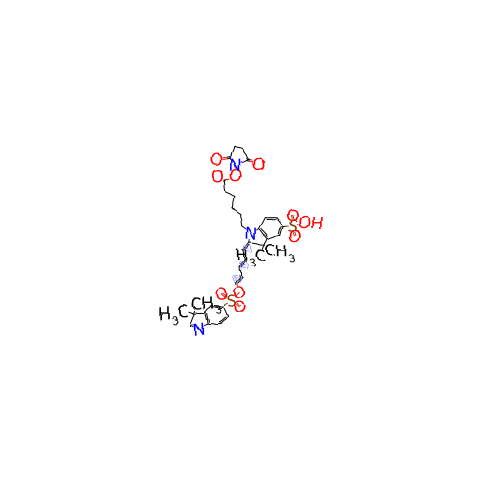 CC1(C)C=Nc2ccc(S(=O)(=O)O/C=C/C=C/C=C3/N(CCCCCC(=O)ON4C(=O)CCC4=O)c4ccc(S(=O)(=O)O)cc4C3(C)C)cc21